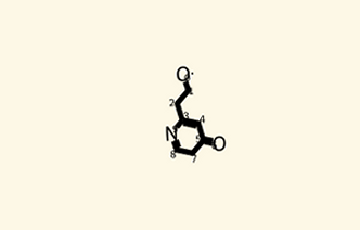 [O]CCC1=CC(=O)CC=N1